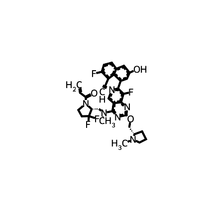 C#Cc1c(F)ccc2cc(O)cc(-c3ncc4c(N(C)C[C@H]5N(C(=O)C=C)CCC5(F)F)nc(OC[C@@H]5CCCN5C)nc4c3F)c12